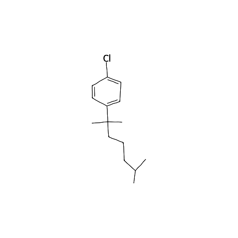 CC(C)CCCC(C)(C)c1ccc(Cl)cc1